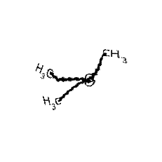 CCCCCCCCCCCCOC(=O)C(CCCCCCCCCCCC)CCCCCCCCCCCC